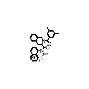 Cc1cc(C)cc(C(=O)N2Cc3ccccc3CC2C(=O)N(c2cccc3ccccc23)[C@@H](C)C(=O)O)c1